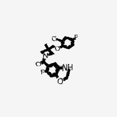 CC1(COc2ccc(F)cc2Cl)CN(C(=O)c2cc3c(cc2F)OCCN3)C1